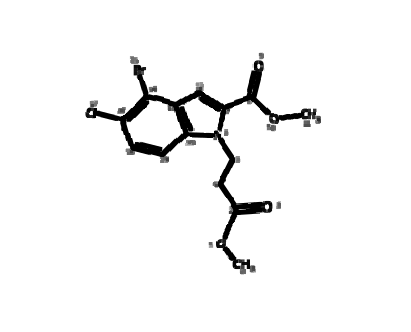 COC(=O)CCn1c(C(=O)OC)cc2c(Br)c(Cl)ccc21